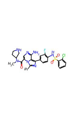 CC(C)c1nc(-c2ccc(NS(=O)(=O)c3ccccc3Cl)c(F)c2)c2c(N)ncc(C(=O)N(C)C3CCNC3)n12